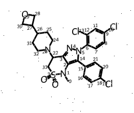 CN1c2c(nn(-c3ccc(Cl)cc3Cl)c2-c2ccc(Cl)cc2)C(N2CCC(C3COC3)CC2)CS1(=O)=O